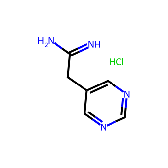 Cl.N=C(N)Cc1cncnc1